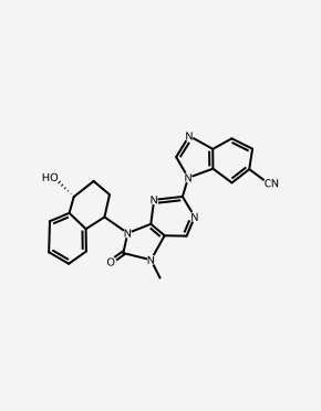 Cn1c(=O)n(C2CC[C@@H](O)c3ccccc32)c2nc(-n3cnc4ccc(C#N)cc43)ncc21